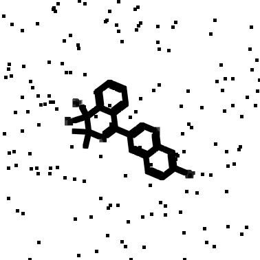 CC1(C)N=C(c2cnc3cc(Br)ccc3c2)c2ccccc2C1(Br)Br